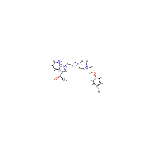 O=C(c1cn(CCCN2CCN(CCOc3ccc(Cl)cc3)CC2)c2ncccc12)C(F)(F)F